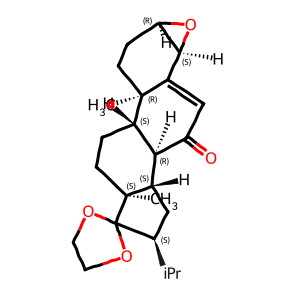 CC(C)[C@@H]1C[C@H]2[C@@H]3C(=O)C=C4[C@@H]5O[C@@H]5CC[C@]4(C)[C@H]3CC[C@]2(C)C12OCCO2